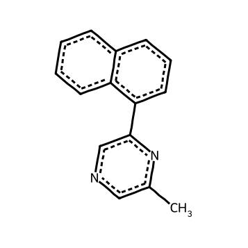 Cc1cncc(-c2cccc3ccccc23)n1